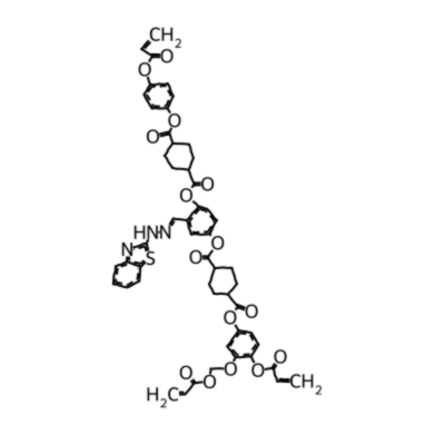 C=CC(=O)OCOc1cc(OC(=O)C2CCC(C(=O)Oc3ccc(OC(=O)C4CCC(C(=O)Oc5ccc(OC(=O)C=C)cc5)CC4)c(/C=N/Nc4nc5ccccc5s4)c3)CC2)ccc1OC(=O)C=C